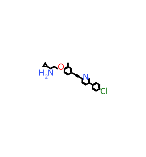 Cc1cc(C#Cc2ccc(-c3ccc(Cl)cc3)cn2)ccc1OCCC(N)C1CC1